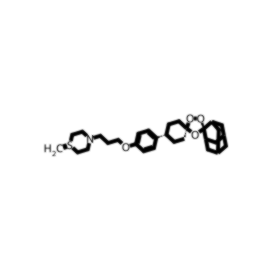 C=S1CCN(CCCOc2ccc([C@H]3CC[C@]4(CC3)OO[C@]3(O4)C4CC5CC(C4)CC3C5)cc2)CC1